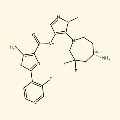 Cn1ncc(NC(=O)c2nc(-c3ccncc3F)sc2N)c1N1CC[C@H](N)CC(F)(F)C1